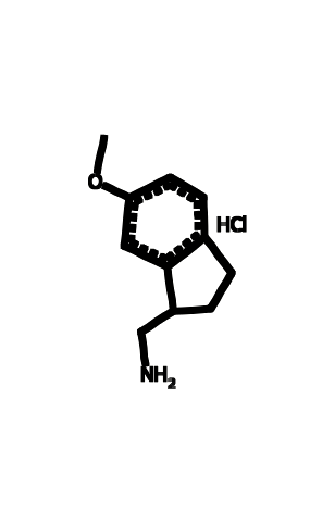 COc1ccc2c(c1)C(CN)CC2.Cl